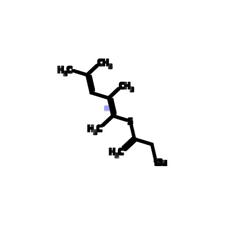 C=C(CC(C)(C)C)S/C(C)=C(\C)C=C(C)C